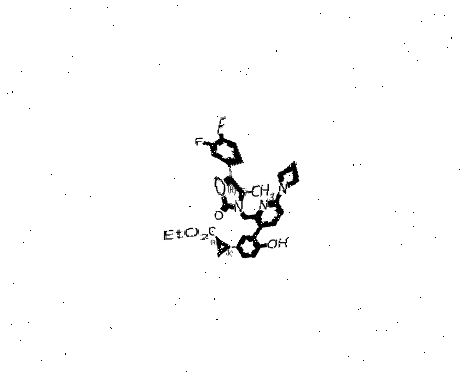 CCOC(=O)[C@@H]1C[C@H]1c1ccc(O)c(-c2ccc(N3CCC3)nc2CN2C(=O)O[C@H](c3ccc(F)c(F)c3)[C@@H]2C)c1